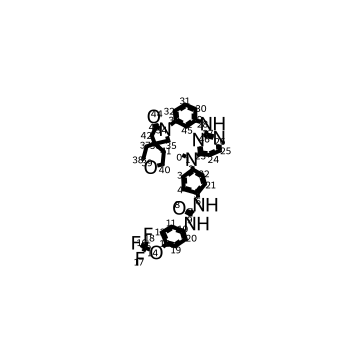 CN(c1ccc(NC(=O)Nc2ccc(OC(F)(F)F)cc2)cc1)c1ccnc(Nc2cccc(N3CC4(CCOCC4)CC3=O)c2)n1